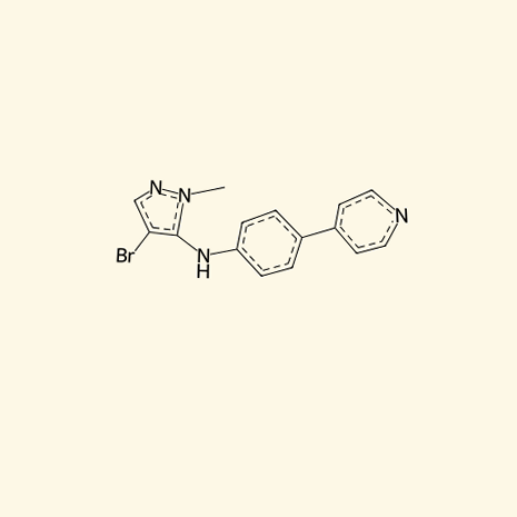 Cn1ncc(Br)c1Nc1ccc(-c2ccncc2)cc1